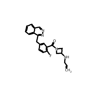 C=CCNC1CN(C(=O)c2cc(Cc3nncc4ccccc34)ccc2F)C1